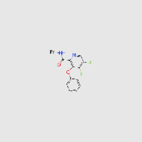 CCNC(=O)c1ncc(F)c(F)c1Oc1ccccc1